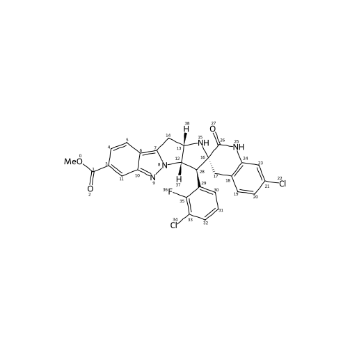 COC(=O)c1ccc2c3n(nc2c1)[C@@H]1[C@H](C3)N[C@]2(Cc3ccc(Cl)cc3NC2=O)[C@H]1c1cccc(Cl)c1F